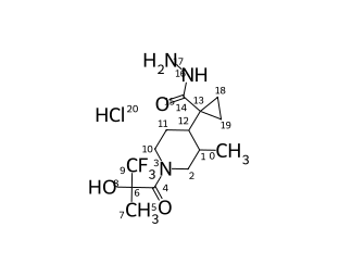 CC1CN(C(=O)C(C)(O)C(F)(F)F)CCC1C1(C(=O)NN)CC1.Cl